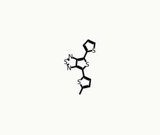 Cc1ccc(-c2sc(-c3cccs3)c3c2N=S=N3)s1